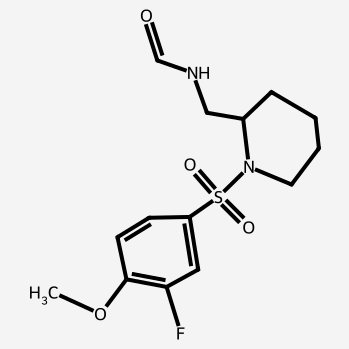 COc1ccc(S(=O)(=O)N2CCCCC2CNC=O)cc1F